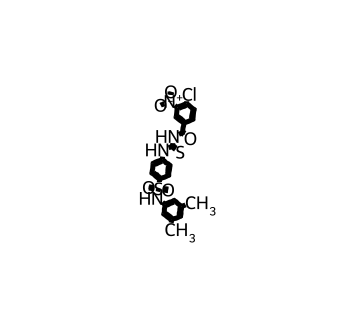 Cc1cc(C)cc(NS(=O)(=O)c2ccc(NC(=S)NC(=O)c3ccc(Cl)c([N+](=O)[O-])c3)cc2)c1